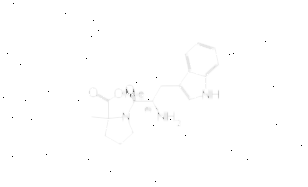 COC(=O)C1(C)CCCN1C(=O)[C@H](N)Cc1c[nH]c2ccccc12